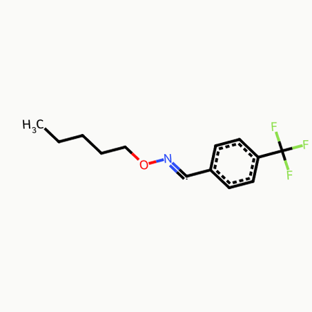 CCCCCO/N=[C]/c1ccc(C(F)(F)F)cc1